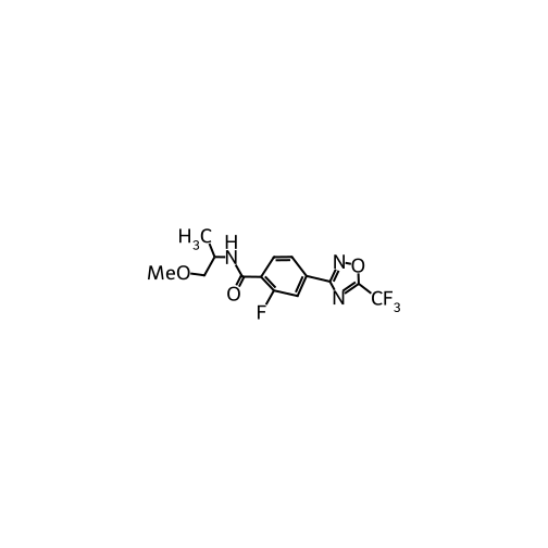 COCC(C)NC(=O)c1ccc(-c2noc(C(F)(F)F)n2)cc1F